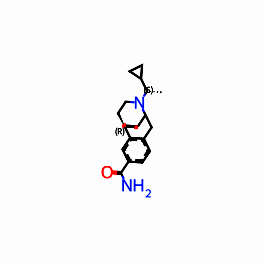 C[C@@H](C1CC1)N1CC[C@]23CCCCC2C1Cc1ccc(C(N)=O)cc13